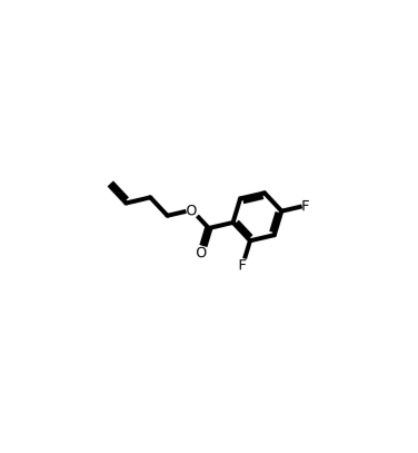 C=CCCOC(=O)c1ccc(F)cc1F